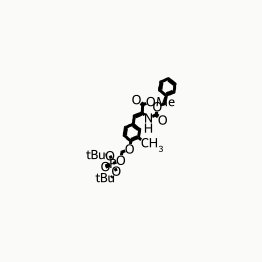 COC(=O)C(=Cc1ccc(OCOP(=O)(OC(C)(C)C)OC(C)(C)C)c(C)c1)NC(=O)OCc1ccccc1